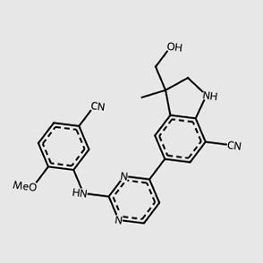 COc1ccc(C#N)cc1Nc1nccc(-c2cc(C#N)c3c(c2)C(C)(CO)CN3)n1